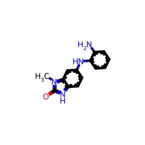 Cn1c(=O)[nH]c2ccc(Nc3ccccc3N)cc21